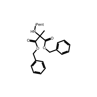 CCCC(C)NC(C)(C(=O)OCc1ccccc1)C(=O)OCc1ccccc1